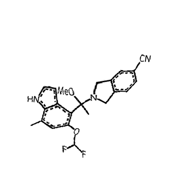 COC(C)(c1c(OC(F)F)cc(C)c2[nH]ccc12)N1Cc2ccc(C#N)cc2C1